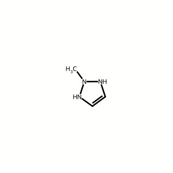 CN1NC=CN1